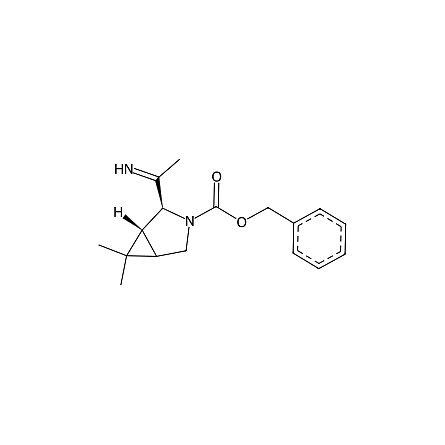 CC(=N)[C@@H]1[C@@H]2C(CN1C(=O)OCc1ccccc1)C2(C)C